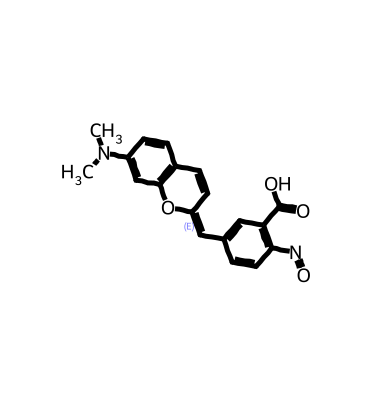 CN(C)c1ccc2c(c1)O/C(=C/c1ccc(N=O)c(C(=O)O)c1)C=C2